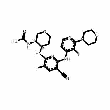 N#Cc1cc(F)c(N[C@@H]2CCOC[C@@H]2NC(=O)O)nc1Nc1ccnc(N2CCOCC2)c1F